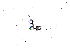 CCOc1ccc2cc(C(=O)C3C(=O)C4CCC(C4)C3=O)c(C(F)(F)F)nc2n1